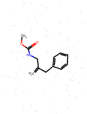 C=C(CNC(=O)OC)Cc1ccccc1